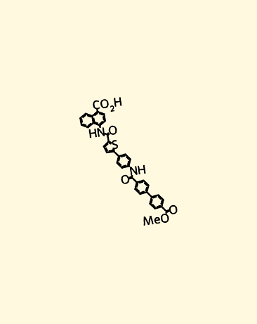 COC(=O)c1ccc(-c2ccc(C(=O)Nc3ccc(-c4ccc(C(=O)Nc5ccc(C(=O)O)c6ccccc56)s4)cc3)cc2)cc1